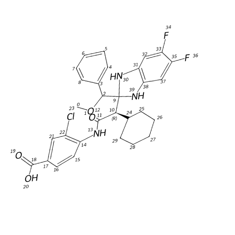 COC(c1ccccc1)C1([C@H](C(=O)Nc2ccc(C(=O)O)cc2Cl)C2CCCCC2)Nc2cc(F)c(F)cc2N1